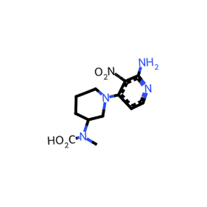 CN(C(=O)O)C1CCCN(c2ccnc(N)c2[N+](=O)[O-])C1